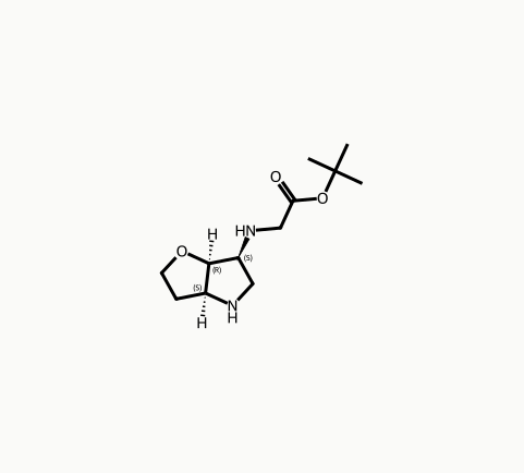 CC(C)(C)OC(=O)CN[C@H]1CN[C@H]2CCO[C@H]21